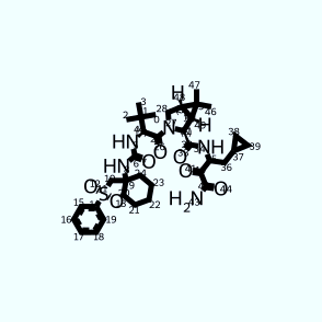 CC(C)(C)[C@H](NC(=O)NC1(CS(=O)(=O)c2ccccc2)CCCCC1)C(=O)N1C[C@H]2[C@@H]([C@H]1C(=O)NC(CC1CC1)C(=O)C(N)=O)C2(C)C